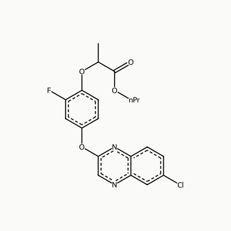 CCCOC(=O)C(C)Oc1ccc(Oc2cnc3cc(Cl)ccc3n2)cc1F